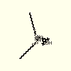 CCCCCCCCCCCCSCCSc1nc(Oc2cc(C(C)(C)C)c(O)c(C(C)(C)C)c2)nc(SCCSCCCCCCCCCCCC)n1